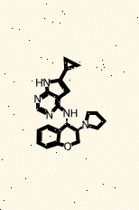 c1ccc2c(c1)OC[C@H](N1CCCC1)[C@H]2Nc1ncnc2[nH]c(C3CC3)cc12